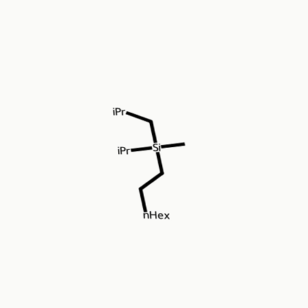 CCCCCCCC[Si](C)(CC(C)C)C(C)C